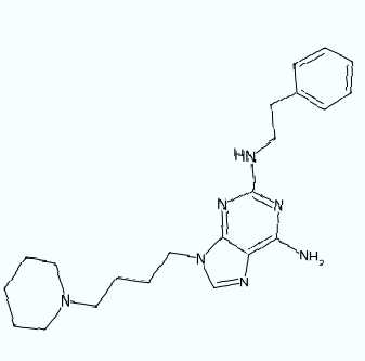 Nc1nc(NCCc2ccccc2)nc2c1ncn2CCCCN1CCCCC1